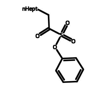 CCCCCCCCC(=O)S(=O)(=O)Oc1ccccc1